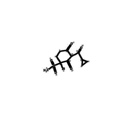 CCC1(S(C)(=O)=O)CCC(=O)C(C(=O)C2CC2)C1=O